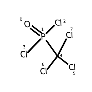 O=P(Cl)(Cl)C(Cl)(Cl)Cl